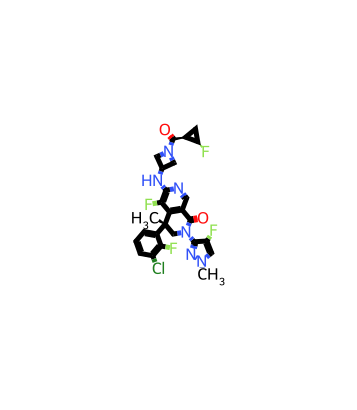 Cn1cc(F)c(N2C[C@](C)(c3cccc(Cl)c3F)c3c(cnc(NC4CN(C(=O)[C@H]5C[C@@H]5F)C4)c3F)C2=O)n1